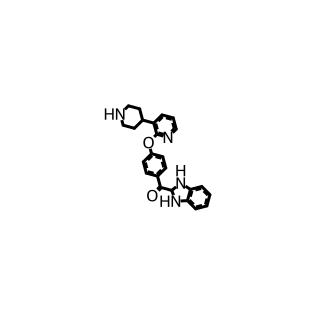 O=C(c1ccc(Oc2ncccc2C2CCNCC2)cc1)C1Nc2ccccc2N1